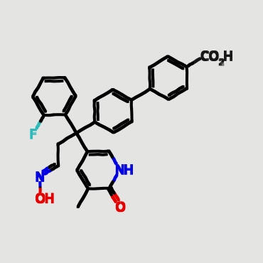 Cc1cc(C(C/C=N/O)(c2ccc(-c3ccc(C(=O)O)cc3)cc2)c2ccccc2F)c[nH]c1=O